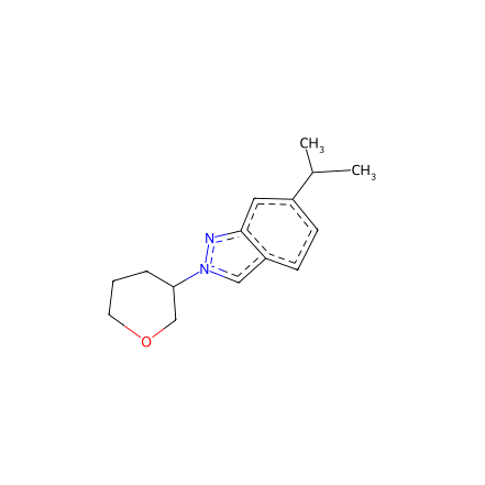 CC(C)c1ccc2cn(C3CCCOC3)nc2c1